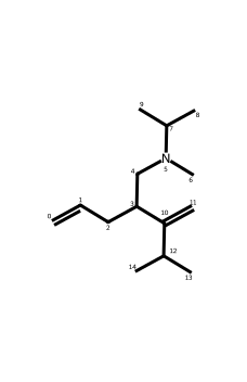 C=CCC(CN(C)C(C)C)C(=C)C(C)C